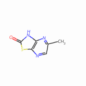 Cc1cnc2sc(=O)[nH]c2n1